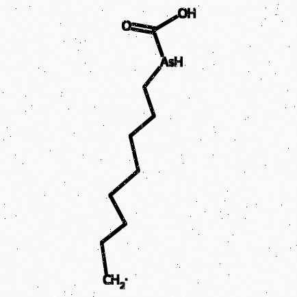 [CH2]CCCCCCC[AsH]C(=O)O